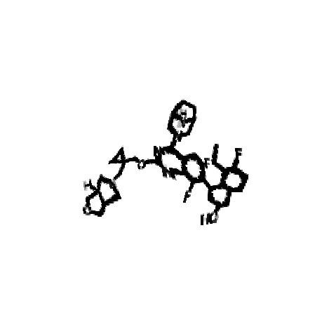 CCc1c(F)ccc2cc(O)cc(-c3c(F)cc4c(N5CC6CCC(C5)N6)nc(OCC5(CN6CC7COC[C@@H]7C6)CC5)nc4c3F)c12